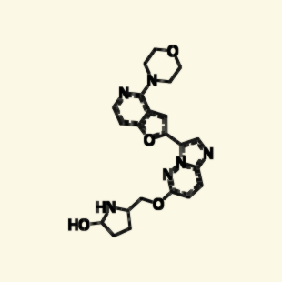 OC1CCC(COc2ccc3ncc(-c4cc5c(N6CCOCC6)nccc5o4)n3n2)N1